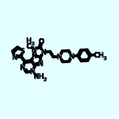 Cc1ccc(N2CCN(CCN3C(=O)N(C)N4C5=C(c6nccs6)N=CN(N)C5=NC34)CC2)cc1